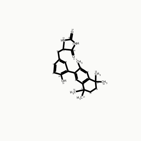 Cc1cc2c(cc1-c1cc(CC3NC(=O)NC3=O)ccc1O)C(C)(C)CCC2(C)C